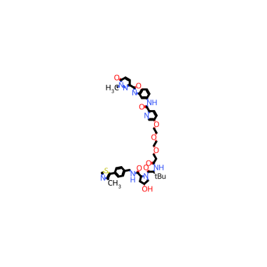 Cc1ncsc1-c1ccc(CNC(=O)C2C[C@@H](O)CN2C(=O)[C@@H](NC(=O)CCOCCOCCOc2ccc(C(=O)Nc3ccc4oc(-c5ccc(=O)n(C)n5)nc4c3)nc2)C(C)(C)C)cc1